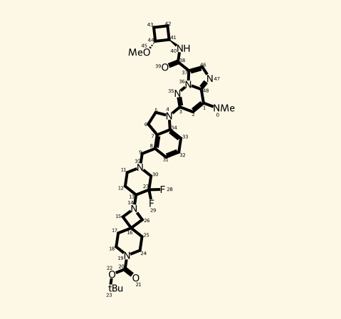 CNc1cc(N2CCc3c(CN4CCC(N5CC6(CCN(C(=O)OC(C)(C)C)CC6)C5)C(F)(F)C4)cccc32)nn2c(C(=O)N[C@@H]3CC[C@H]3OC)cnc12